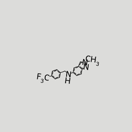 Cn1cc2cc(NCc3ccc(C(F)(F)F)cc3)ccc2n1